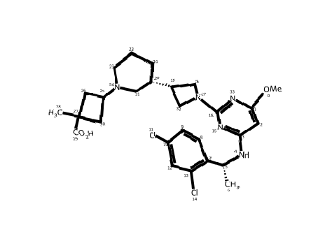 COc1cc(N[C@H](C)c2ccc(Cl)cc2Cl)nc(N2CC([C@H]3CCCN(C4CC(C)(C(=O)O)C4)C3)C2)n1